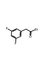 CCC(=O)Cc1cc(F)cc(F)c1